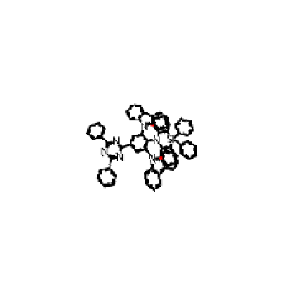 c1ccc(-c2nc(-c3ccccc3)nc(-c3cc(-n4c5ccccc5c5ccccc54)c(N4c5ccccc5[Si](c5ccccc5)(c5ccccc5)c5ccccc54)c(-n4c5ccccc5c5ccccc54)c3)n2)cc1